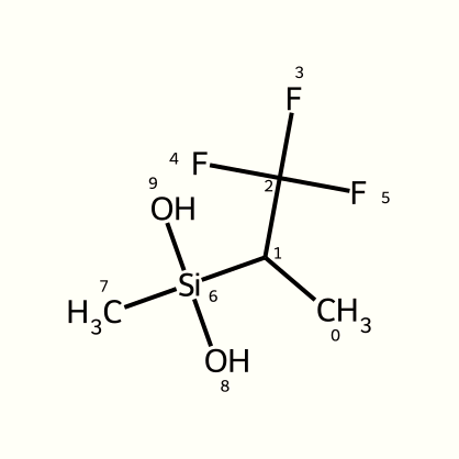 CC(C(F)(F)F)[Si](C)(O)O